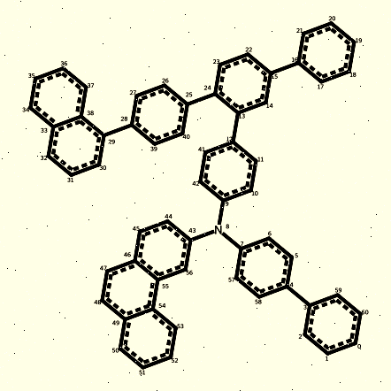 c1ccc(-c2ccc(N(c3ccc(-c4cc(-c5ccccc5)ccc4-c4ccc(-c5cccc6ccccc56)cc4)cc3)c3ccc4ccc5ccccc5c4c3)cc2)cc1